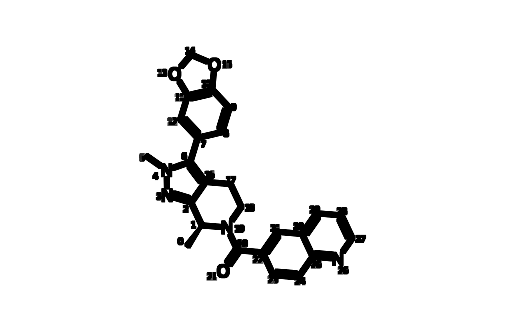 C[C@H]1c2nn(C)c(-c3ccc4c(c3)OCO4)c2CCN1C(=O)c1ccc2ncccc2c1